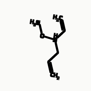 C=CC[SiH](C=C)O[SiH3]